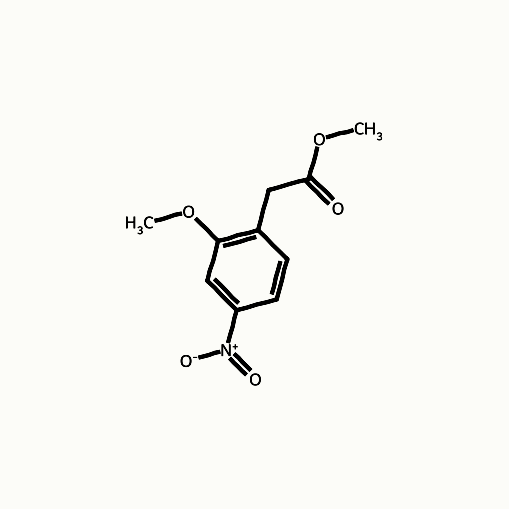 COC(=O)Cc1ccc([N+](=O)[O-])cc1OC